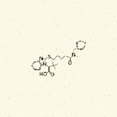 CN(Cc1ccccc1)C(=O)CCCCSc1nc2ccccc2n1C(C(=O)O)C(C)(C)C